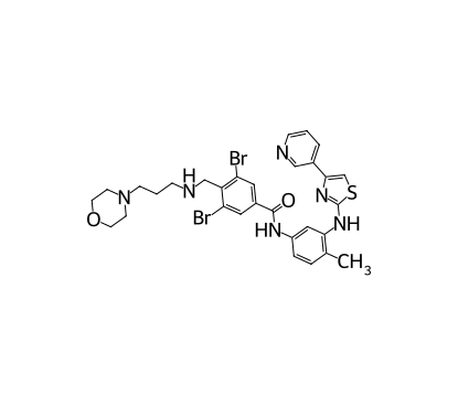 Cc1ccc(NC(=O)c2cc(Br)c(CNCCCN3CCOCC3)c(Br)c2)cc1Nc1nc(-c2cccnc2)cs1